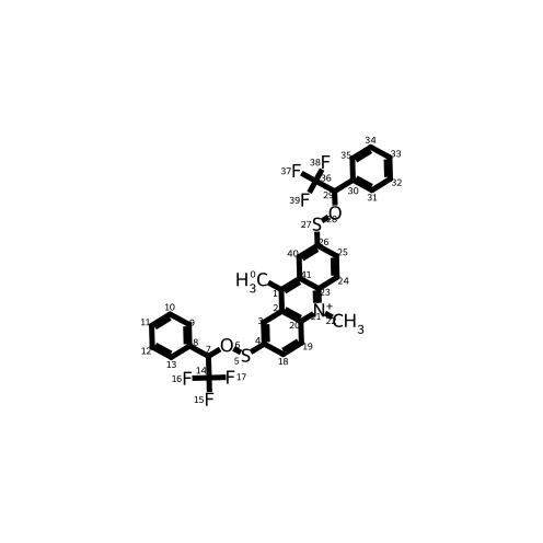 Cc1c2cc(SOC(c3ccccc3)C(F)(F)F)ccc2[n+](C)c2ccc(SOC(c3ccccc3)C(F)(F)F)cc12